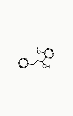 COc1ccccc1C(O)CCc1ccccc1